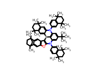 CC(C)(C)c1cc2c3c(c1)N(c1ccc4c(c1)C(C)(C)CCC4(C)C)c1oc4cc5c(cc4c1B3c1cc3c(cc1N2c1ccc2c(c1)C(C)(C)CCC2(C)C)C(C)(C)CCC3(C)C)C1(C)CCC5(C)CC1